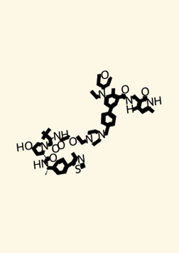 CCN(c1cc(-c2ccc(CN3CCN(CCOCC(=O)N[C@H](C(=O)N4C[C@H](O)C[C@H]4C(=O)N[C@@H](C)c4ccc(-c5scnc5C)cc4)C(C)(C)C)CC3)cc2)cc(C(=O)NCc2c(C)cc(C)[nH]c2=O)c1C)C1CCOCC1